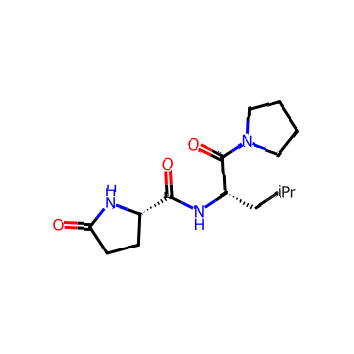 CC(C)C[C@H](NC(=O)[C@@H]1CCC(=O)N1)C(=O)N1CCCC1